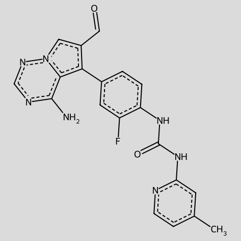 Cc1ccnc(NC(=O)Nc2ccc(-c3c(C=O)cn4ncnc(N)c34)cc2F)c1